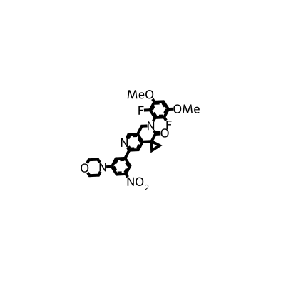 COc1cc(OC)c(F)c(N2Cc3cnc(-c4cc(N5CCOCC5)cc([N+](=O)[O-])c4)cc3C3(CC3)C2=O)c1F